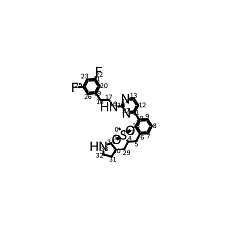 CS(=O)(=O)C(Cc1cccc(-c2ccnc(NCCc3cc(F)cc(F)c3)n2)c1)C[C@H]1CCNC1